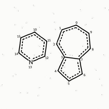 c1ccc2cccc-2cc1.c1ccncc1